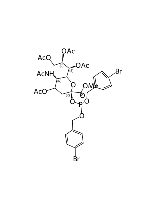 COC(=O)[C@]1(OP(OCc2ccc(Br)cc2)OCc2ccc(Br)cc2)CC(OC(C)=O)[C@@H](NC(C)=O)C([C@H](OC(C)=O)[C@@H](COC(C)=O)OC(C)=O)O1